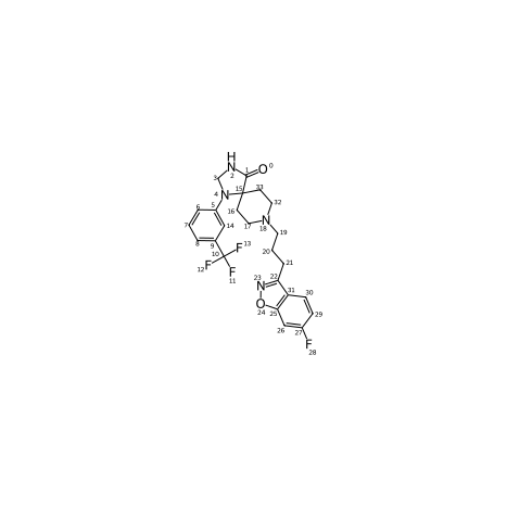 O=C1NCN(c2cccc(C(F)(F)F)c2)C12CCN(CCCc1noc3cc(F)ccc13)CC2